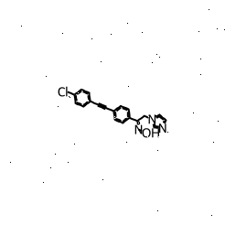 O/N=C(\Cn1ccnc1)c1ccc(C#Cc2ccc(Cl)cc2)cc1